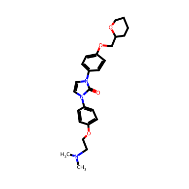 CN(C)CCOc1ccc(-n2ccn(-c3ccc(OCC4CCCCO4)cc3)c2=O)cc1